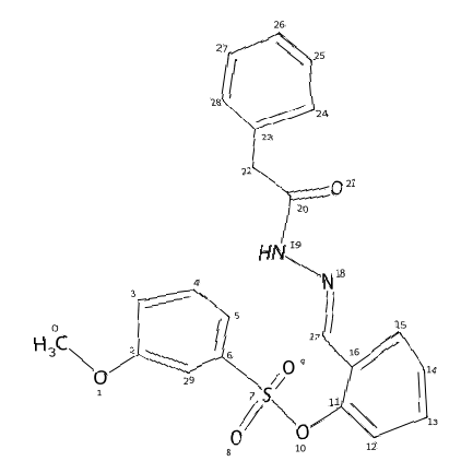 COc1cccc(S(=O)(=O)Oc2ccccc2/C=N/NC(=O)Cc2ccccc2)c1